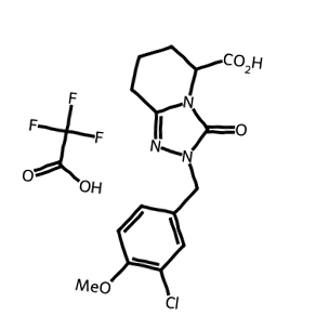 COc1ccc(Cn2nc3n(c2=O)C(C(=O)O)CCC3)cc1Cl.O=C(O)C(F)(F)F